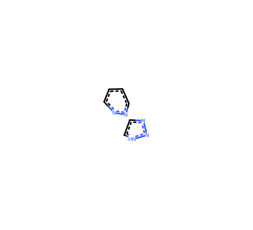 c1c[nH]nn1.c1ccnnc1